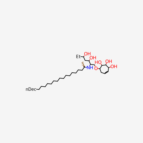 CCCCCCCCCCCCCCCCCCCCCCCCCC(=S)NC(COC1CC=CC(O)C(O)C1O)C(O)CC(O)CC